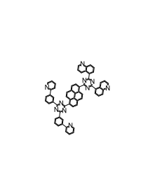 c1ccc(-c2cccc(-c3nc(-c4cccc(-c5ccccn5)c4)nc(-c4ccc5ccc6c(-c7nc(-c8cccc9ncccc89)nc(-c8cccc9ncccc89)n7)ccc7ccc4c5c76)n3)c2)nc1